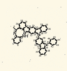 Cc1nc2ccccc2[nH]n2c3cc4c(cc3c3cccc1c32)c1ccccc1n4-c1ccc2c3ccccc3n(-c3ccccc3)c2c1